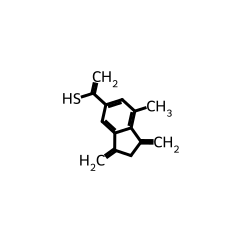 C=C(S)c1cc(C)c2c(c1)C(=C)CC2=C